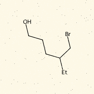 CCC(CBr)CCCO